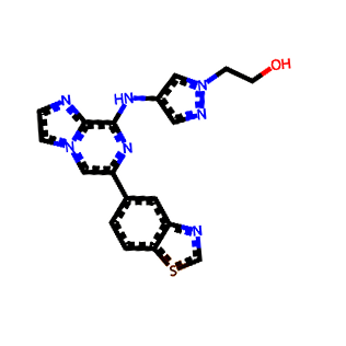 OCCn1cc(Nc2nc(-c3ccc4scnc4c3)cn3ccnc23)cn1